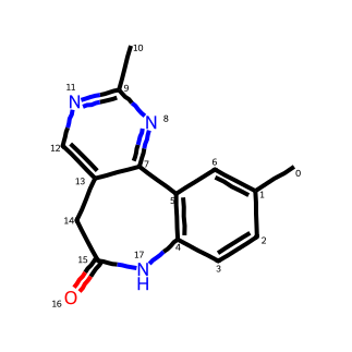 Cc1ccc2c(c1)-c1nc(C)ncc1CC(=O)N2